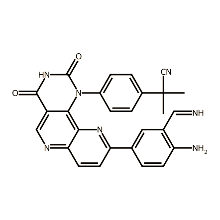 CC(C)(C#N)c1ccc(-n2c(=O)[nH]c(=O)c3cnc4ccc(-c5ccc(N)c(C=N)c5)nc4c32)cc1